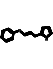 C(=COc1ccccc1)Cc1ccc[nH]1